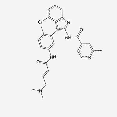 Cc1cc(C(=O)Nc2nc3cccc(Cl)c3n2-c2cc(NC(=O)C=CCN(C)C)ccc2C)ccn1